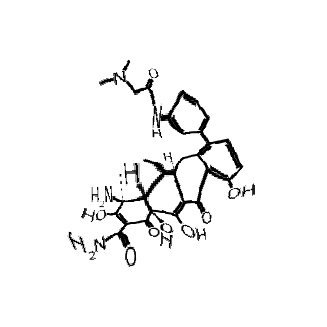 CC1[C@@H]2[C@@](O)(C(=O)C(C(N)=O)=C(O)[C@@]2(C)N)C(O)=C2C(=O)c3c(O)ccc(-c4cccc(NC(=O)CN(C)C)c4)c3C[C@@H]21